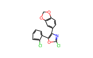 Clc1nc(-c2ccc3c(c2)OCO3)c(-c2ccccc2Cl)o1